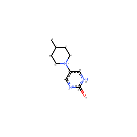 CC1CCN(c2cnc(=O)[nH]c2)CC1